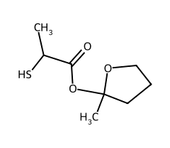 CC(S)C(=O)OC1(C)CCCO1